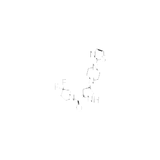 O=C([C@@H]1C[C@H](N2CCN(c3nccs3)CC2)CN1)N1CCC(F)(F)C1